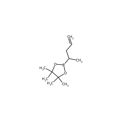 C=CCC(C)B1OC(C)(C)C(C)(C)O1